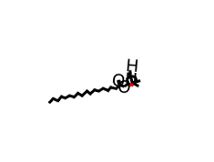 CCCCCCCCCCCCCCCCCC(=O)OC1CC2(C)CCC1C(C)(C)N2